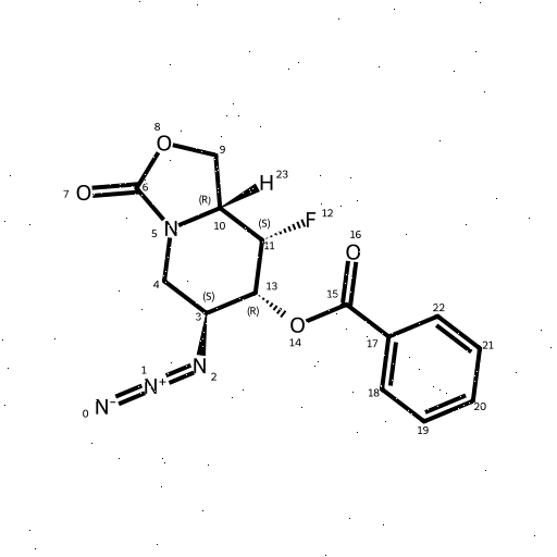 [N-]=[N+]=N[C@H]1CN2C(=O)OC[C@@H]2[C@H](F)[C@@H]1OC(=O)c1ccccc1